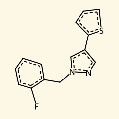 Fc1ccccc1Cn1cc(-c2cccs2)cn1